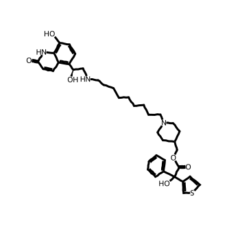 O=C(OCC1CCN(CCCCCCCCCNC[C@@H](O)c2ccc(O)c3[nH]c(=O)ccc23)CC1)C(O)(c1ccccc1)c1ccsc1